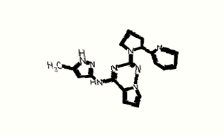 Cc1cc(Nc2nc(N3CCCC3c3ccccn3)nn3cccc23)n[nH]1